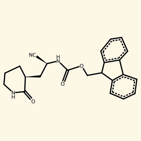 N#C[C@H](C[C@@H]1CCCNC1=O)NC(=O)OCC1c2ccccc2-c2ccccc21